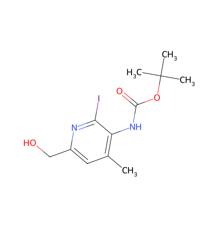 Cc1cc(CO)nc(I)c1NC(=O)OC(C)(C)C